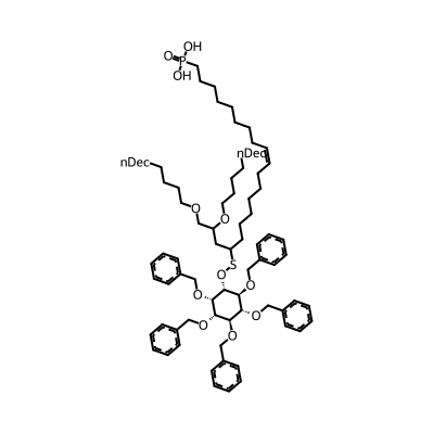 CCCCCCCCCCCCCCOCC(CC(CCCCCC/C=C\CCCCCCCCP(=O)(O)O)SO[C@@H]1[C@@H](OCc2ccccc2)[C@H](OCc2ccccc2)[C@@H](OCc2ccccc2)[C@H](OCc2ccccc2)[C@@H]1OCc1ccccc1)OCCCCCCCCCCCCCC